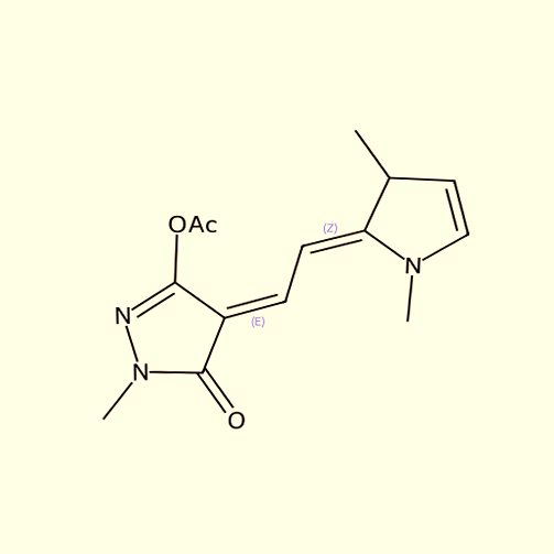 CC(=O)OC1=NN(C)C(=O)/C1=C/C=C1/C(C)C=CN1C